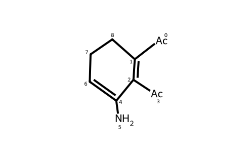 CC(=O)C1=C(C(C)=O)C(N)=CCC1